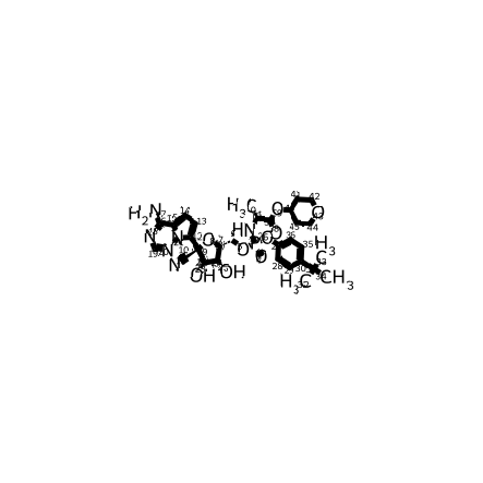 C[C@H](NP(=O)(OC[C@H]1O[C@@](C#N)(c2ccc3c(N)ncnn23)[C@H](O)[C@@H]1O)Oc1ccc(C(C)(C)C)cc1)C(=O)OC1CCOCC1